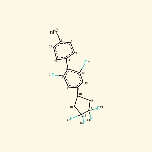 CCCc1ccc(-c2c(F)cc(C3CC(F)(F)C(F)(F)C3)cc2F)cc1